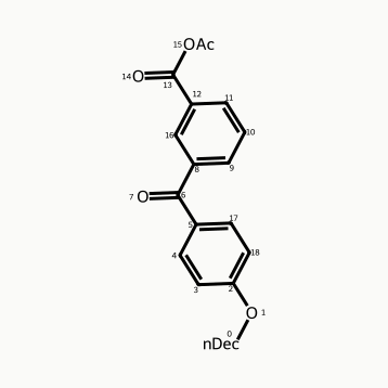 CCCCCCCCCCOc1ccc(C(=O)c2cccc(C(=O)OC(C)=O)c2)cc1